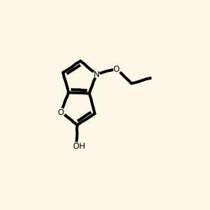 CCOn1ccc2oc(O)cc21